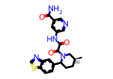 C[C@H]1CCC(c2ccc3scnc3c2)N(C(=O)C(=O)Nc2cncc(C(N)=O)c2)C1